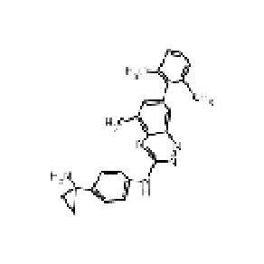 Cc1cccc(C)c1-c1cc(C)c2nc(Nc3ccc(C4(N)CC4)cc3)nnc2c1